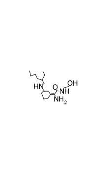 CCCCC(CC)CNC1=C/C(=C(/N)C(=O)NCCO)CCC1